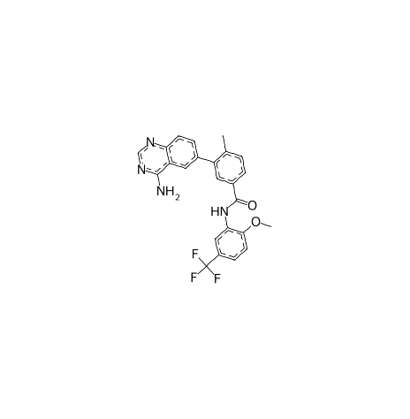 COc1ccc(C(F)(F)F)cc1NC(=O)c1ccc(C)c(-c2ccc3ncnc(N)c3c2)c1